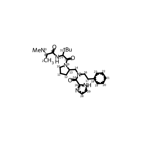 CN[C@@H](C)C(=O)NC(C(=O)N1CCCC1CN(CCc1ccccc1)C(=O)c1ncc[nH]1)C(C)(C)C